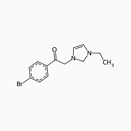 CCN1C=CN(CC(=O)c2ccc(Br)cc2)C1